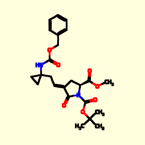 COC(=O)[C@@H]1C/C(=C\CC2(NC(=O)OCc3ccccc3)CC2)C(=O)N1C(=O)OC(C)(C)C